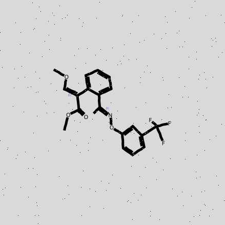 CO/C=C(/C(=O)OC)c1ccccc1/C(C)=N/Oc1cccc(C(F)(F)F)c1